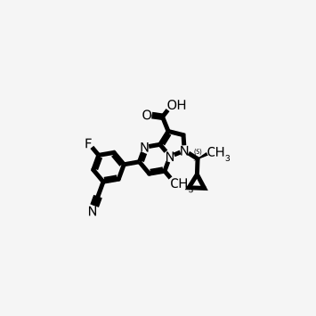 CC1=CC(c2cc(F)cc(C#N)c2)=NC2=C(C(=O)O)CN([C@@H](C)C3CC3)N12